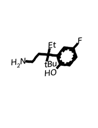 CCC(CCN)(c1cc(F)ccc1O)C(C)(C)C